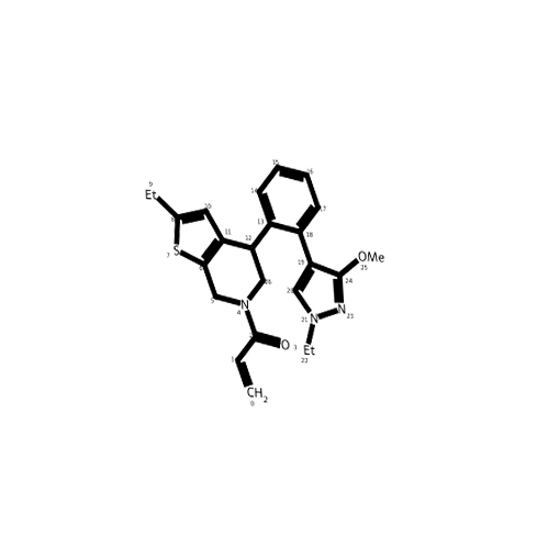 C=CC(=O)N1Cc2sc(CC)cc2C(c2ccccc2-c2cn(CC)nc2OC)C1